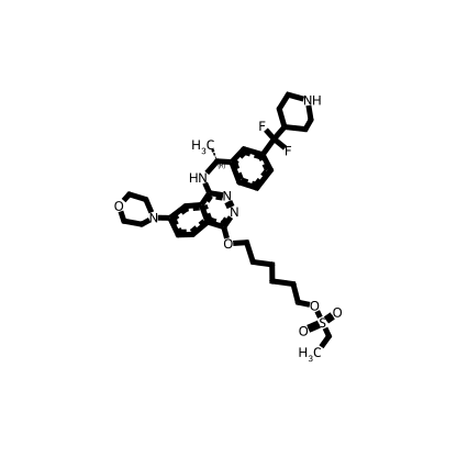 CCS(=O)(=O)OCCCCCCOc1nnc(N[C@H](C)c2cccc(C(F)(F)C3CCNCC3)c2)c2cc(N3CCOCC3)ccc12